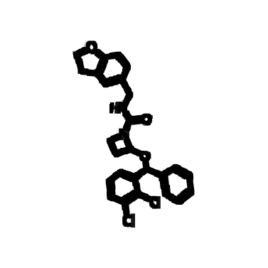 O=C(NCc1ccc2c(c1)CCO2)N1CCC1OC(c1ccccc1)c1cccc(Cl)c1Cl